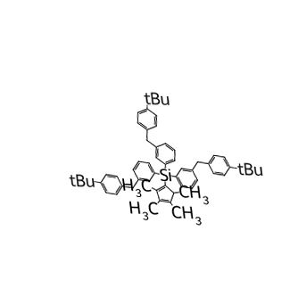 CC1=C(C)C(C)C([Si](c2cccc(Cc3ccc(C(C)(C)C)cc3)c2)(c2cccc(Cc3ccc(C(C)(C)C)cc3)c2)c2cccc(Cc3ccc(C(C)(C)C)cc3)c2)=C1C